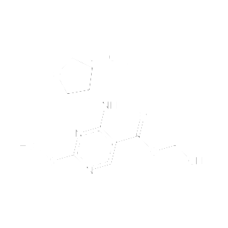 CCOC(=O)c1cnc(SC)nc1N[C@@H]1COC[C@@H]1C